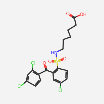 O=C(O)CCCCCNS(=O)(=O)c1ccc(Cl)cc1C(=O)c1ccc(Cl)cc1Cl